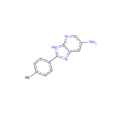 N#Cc1ccc(-c2nc3cc(N)cnc3[nH]2)cc1